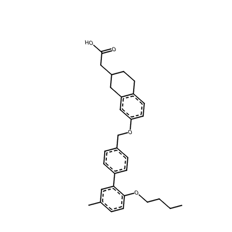 CCCCOc1ccc(C)cc1-c1ccc(COc2ccc3c(c2)CC(CC(=O)O)CC3)cc1